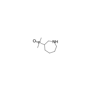 CP(C)(=O)C1CCCCNC1